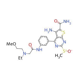 CCN(CCOC)CC(=O)Nc1cccc(-c2nc([S+](C)[O-])nc3sc(C(N)=O)c(N)c23)c1